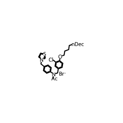 CCCCCCCCCCCCCCOc1ccc(CN(C(C)=O)c2ccc(C[n+]3ccsc3)cc2)cc1Cl.[Br-]